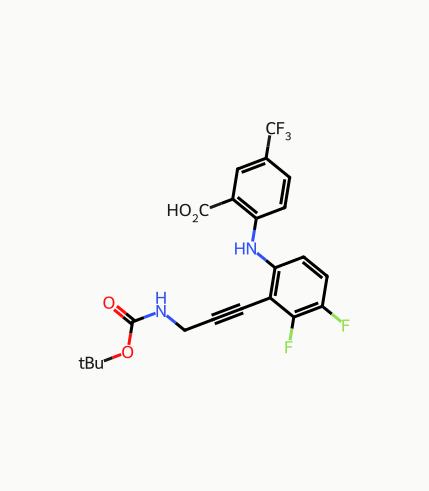 CC(C)(C)OC(=O)NCC#Cc1c(Nc2ccc(C(F)(F)F)cc2C(=O)O)ccc(F)c1F